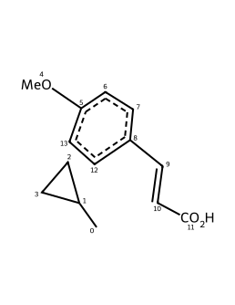 CC1CC1.COc1ccc(C=CC(=O)O)cc1